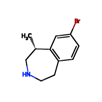 C[C@H]1CNCCc2ccc(Br)cc21